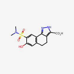 CN(C)S(=O)(=O)c1cc2c(cc1O)CCc1c-2n[nH]c1C(=O)O